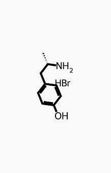 Br.C[C@H](N)Cc1ccc(O)cc1